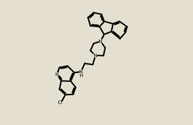 Clc1ccc2c(NCCN3CCN(C4c5ccccc5-c5ccccc54)CC3)ccnc2c1